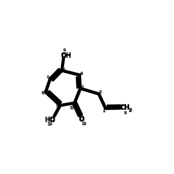 C=CCc1cc(O)ccc(O)c1=O